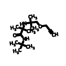 C#CCOCC(C)(C)NC(C)(C)C(=O)NC(C)(C)C